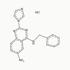 Cl.O=[N+]([O-])c1ccc2nc(-n3ccnc3)nc(NCc3ccccc3)c2c1